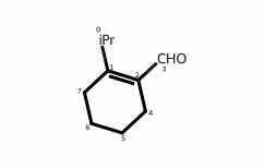 CC(C)C1=C(C=O)CCCC1